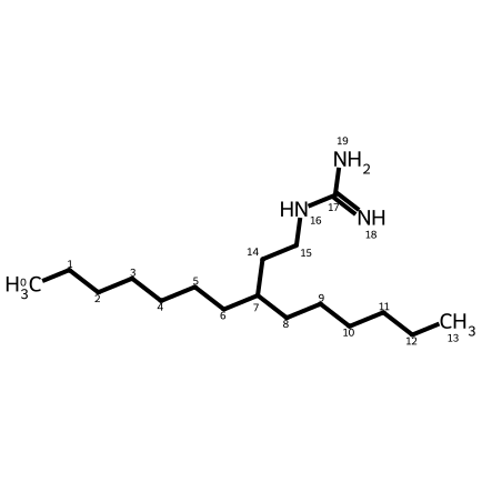 CCCCCCCC(CCCCCC)CCNC(=N)N